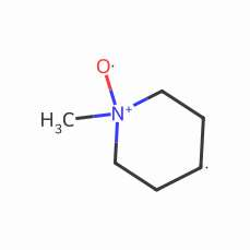 C[N+]1([O])CC[CH]CC1